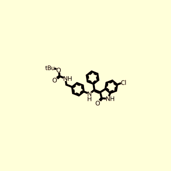 CC(C)(C)OC(=O)NCc1ccc(N/C(=C2\C(=O)Nc3cc(Cl)ccc32)c2ccccc2)cc1